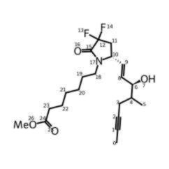 CC#CCC(C)[C@H](O)/C=C/[C@H]1CC(F)(F)C(=O)N1CCCCCCC(=O)OC